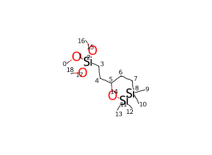 CO[Si](CCC1CC[Si](C)(C)[Si](C)(C)O1)(OC)OC